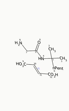 CCCCCC(C)(C)NC(=O)CN.O=C(O)/C=C/C(=O)O